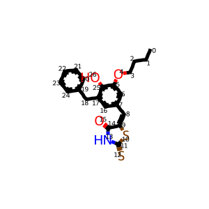 CCCCOc1cc(/C=C2/SC(=S)NC2=O)cc(Cc2ccccc2)c1O